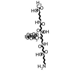 CC(=O)N(O)CCCCCNC(=O)CCC(=O)N(O)CCCCCNC(=O)CCC(=O)N(O)CCCCCN.CS(=O)(=O)[O-].CS(=O)(=O)[O-].[Fe+2]